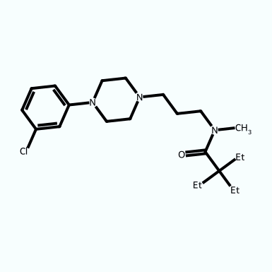 CCC(CC)(CC)C(=O)N(C)CCCN1CCN(c2cccc(Cl)c2)CC1